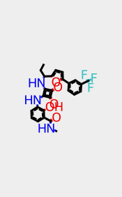 CCC(Nc1c(Nc2cccc(C(=O)NC)c2O)c(=O)c1=O)c1ccc(-c2cccc(C(F)(F)F)c2)o1